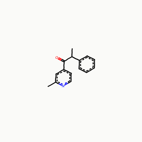 Cc1cc(C(=O)C(C)c2ccccc2)ccn1